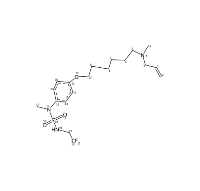 C=CCN(C)CCCCCCOc1ccc(N(C)S(=O)(=O)NCC(F)(F)F)cc1